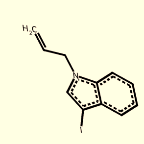 C=CCn1cc(I)c2ccccc21